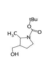 CC1C(CO)CCN1C(=O)OC(C)(C)C